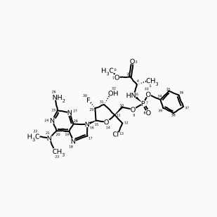 COC(=O)[C@H](C)N[P@@](=O)(OC[C@@]1(CCl)O[C@@H](n2cnc3c(N(C)C)nc(N)nc32)[C@H](F)[C@@H]1O)Oc1ccccc1